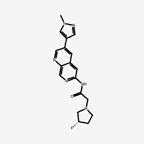 Cn1cc(-c2cnc3cnc(NC(=O)CN4CC[C@H](F)C4)cc3c2)cn1